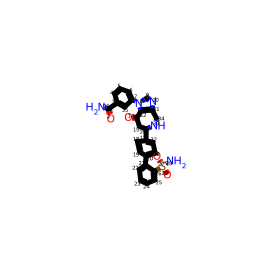 NC(=O)c1cccc(-n2cnc3c2C(=O)CC(c2ccc(-c4ccccc4S(N)(=O)=O)cc2)NC3)c1